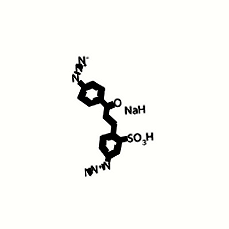 [N-]=[N+]=Nc1ccc(C(=O)/C=C/c2ccc(N=[N+]=[N-])cc2S(=O)(=O)O)cc1.[NaH]